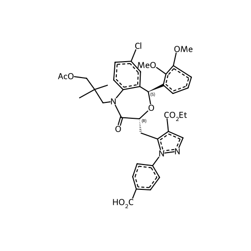 CCOC(=O)c1cnn(-c2ccc(C(=O)O)cc2)c1C[C@H]1O[C@H](c2cccc(OC)c2OC)c2cc(Cl)ccc2N(CC(C)(C)COC(C)=O)C1=O